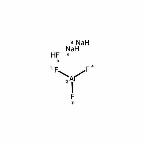 F.[F][Al]([F])[F].[NaH].[NaH]